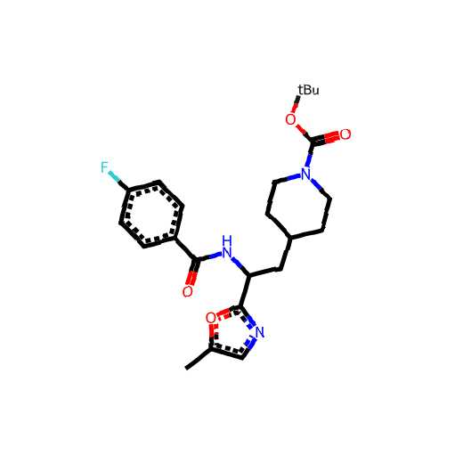 Cc1cnc(C(CC2CCN(C(=O)OC(C)(C)C)CC2)NC(=O)c2ccc(F)cc2)o1